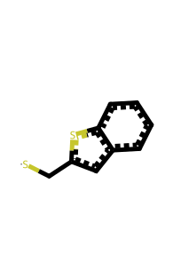 [S]Cc1cc2ccccc2s1